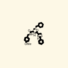 COc1ccc(CNC(=O)[C@H](CSCC2CCCCC2)NC(=O)C2CSC(c3ccccc3)N2)cc1